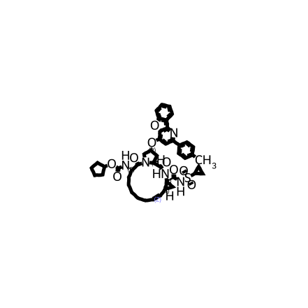 Cc1ccc(-c2cc(O[C@@H]3C[C@H]4C(=O)N[C@]5(C(=O)NS(=O)(=O)C6CC6)C[C@H]5/C=C\CCCCC[C@H](NC(=O)OC5CCCC5)C(=O)N4C3)c3oc4ccccc4c3n2)cc1